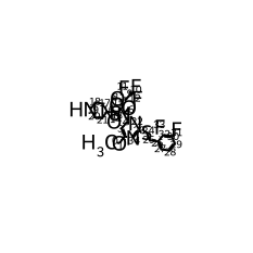 COc1cc(N(OC(=O)C(F)(F)F)S(=O)(=O)N2CCNCC2)nc(SCc2cccc(F)c2F)n1